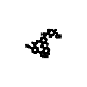 COc1cc(-c2c[nH]c3nccc(Oc4c(F)cc(NC5=NCC(C)(CO)CO5)cc4F)c23)ccc1C#N